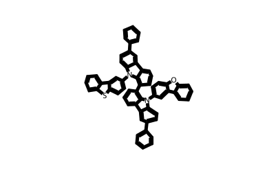 c1ccc(-c2ccc3c(c2)c2cccc(-c4cccc5c6cc(-c7ccccc7)ccc6n(-c6ccc7sc8ccccc8c7c6)c45)c2n3-c2ccc3oc4ccccc4c3c2)cc1